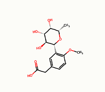 COc1ccc(CC(=O)O)cc1[C@H]1O[C@@H](C)[C@@H](O)[C@@H](O)[C@@H]1O